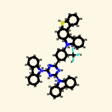 FC(F)(F)c1cc(-c2nc(-n3c4ccccc4c4ccccc43)nc(-n3c4ccccc4c4ccccc43)n2)ccc1-n1c2ccccc2c2c3c(ccc21)sc1ccccc13